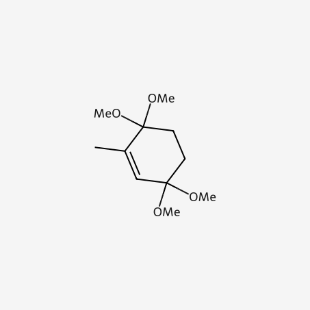 COC1(OC)C=C(C)C(OC)(OC)CC1